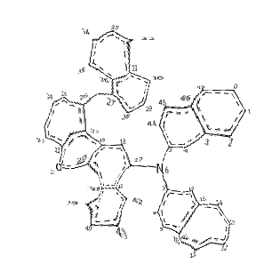 c1ccc2cc(N(c3ccc4ccccc4c3)c3cc4c(oc5cccc(-c6cccc7ccccc67)c54)c4ccccc34)ccc2c1